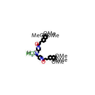 COc1cc2ccc(C=CC(=O)N3CCC(CN(C)CC4CCN(C(=O)C=Cc5ccc6cc(OC)c(OC)c(OC)c6c5)CC4)CC3)cc2c(OC)c1OC.Cl